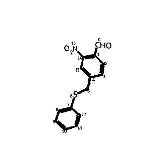 O=Cc1ccc(CSc2ccccc2)cc1[N+](=O)[O-]